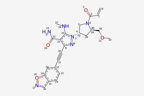 C=CC(=O)N1C[C@@H](n2nc(C#Cc3ccc4cnoc4c3)c(C(N)=O)c2NC)C[C@@H]1COC